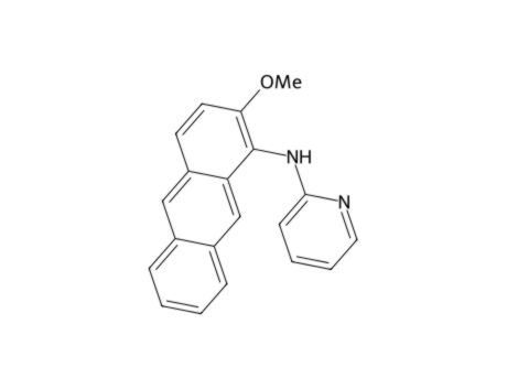 COc1ccc2cc3ccccc3cc2c1Nc1ccccn1